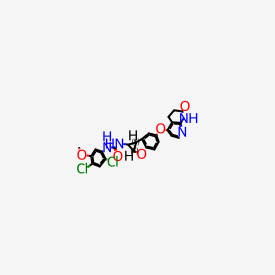 COc1cc(NC(=O)NC2[C@H]3Oc4ccc(Oc5ccnc6c5CCC(=O)N6)cc4[C@@H]23)c(Cl)cc1Cl